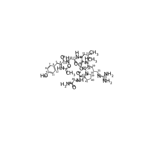 CC(=O)N[C@@H](Cc1ccc(O)cc1)C(=O)NCC(=O)N[C@@H](CC(C)C)C(=O)N[C@@H](CCCN=C(N)N)C(=O)N1CCC[C@H]1C(=O)NCC(N)=O